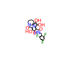 O=C(NCc1c(F)cc(F)cc1F)c1c2n3c(c(O)c1=O)C(=O)N1CCCC[C@@]3(C1)[C@@H](O)[C@@H]2O